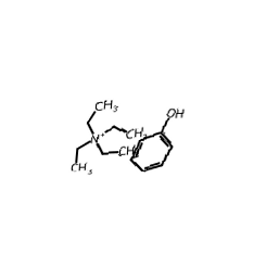 CC[N+](CC)(CC)CC.Oc1ccccc1